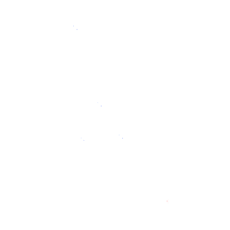 OCCCNc1nccc(-c2ccncc2)n1